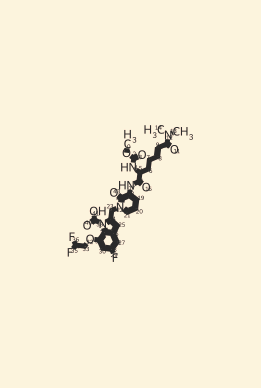 COC(=O)NC(CCC=CC(=O)N(C)C)C(=O)Nc1cccn(Cc2cc3cc(F)cc(OCC(F)F)c3n2C(=O)O)c1=O